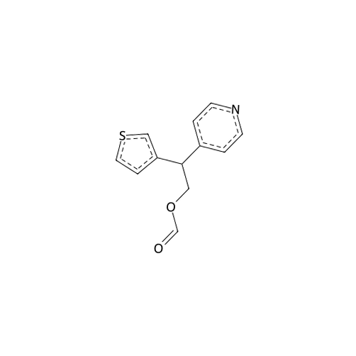 O=COCC(c1ccncc1)c1ccsc1